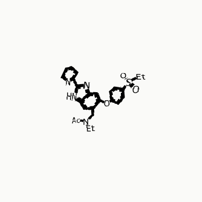 CCN(Cc1cc2[nH]c(-c3ccccn3)nc2cc1Oc1ccc(S(=O)(=O)CC)cc1)C(C)=O